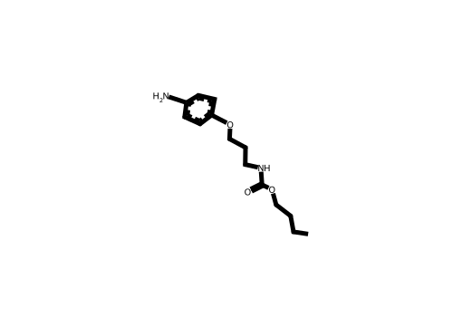 CCCCOC(=O)NCCCOc1ccc(N)cc1